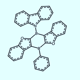 c1ccc(B2c3oc4ccccc4c3B(n3c4ccccc4c4ccccc43)c3oc4ccccc4c32)cc1